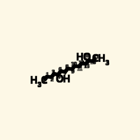 CCCCC(O)CCCCCCCCC(O)CC